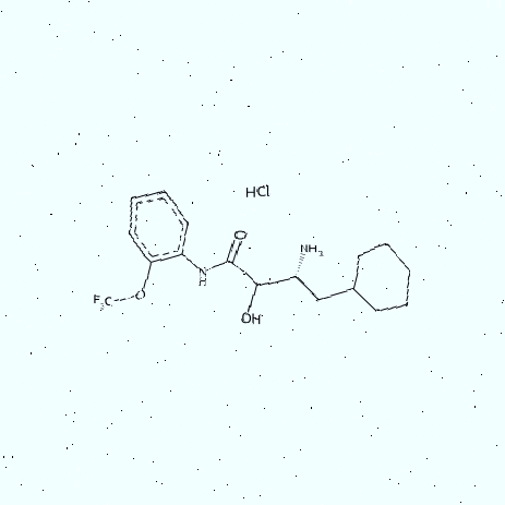 Cl.N[C@H](CC1CCCCC1)C(O)C(=O)Nc1ccccc1OC(F)(F)F